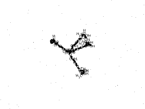 CCC1OC(OCCOCCOCCNC(=O)CCOCC(COCCC(=O)NCCOCCOCCOC2OC(CO)C(O)C(O)C2C)(COC(=O)NCCOCCOCCOC2OC(CO)C(O)C(O)C2C)NC(=O)CNC(=O)COCCOCCNC(=O)Cc2c[nH]c3ccccc23)C(C)C(O)C1O